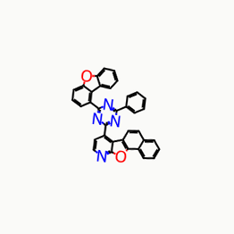 c1ccc(-c2nc(-c3cccc4oc5ccccc5c34)nc(-c3ccnc4oc5c6ccccc6ccc5c34)n2)cc1